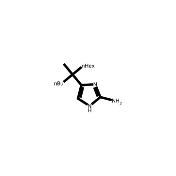 CCCCCCC(C)(CCCC)c1c[nH]c(N)n1